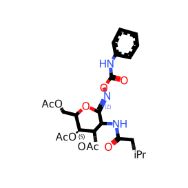 CC(=O)OCC1O/C(=N\OC(=O)Nc2ccccc2)C(NC(=O)CC(C)C)C(OC(C)=O)[C@@H]1OC(C)=O